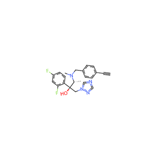 C#Cc1ccc(CN(C)[C@H](C)[C@](O)(Cn2cncn2)c2ccc(F)cc2F)cc1